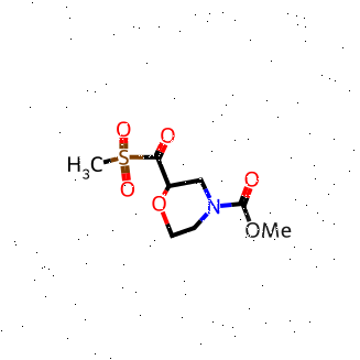 COC(=O)N1CCOC(C(=O)S(C)(=O)=O)C1